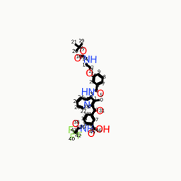 Cc1c(NC(=O)c2cccc(OCCNC(=O)OC(C)(C)C)c2)c2ccccn2c1C(=O)c1ccc(NC(=O)C(F)(F)F)c(C(=O)O)c1